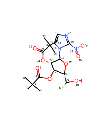 CC(C)(C)C(=O)O[C@@H]1[C@@H](C(O)F)OC(n2ccnc2[N+](=O)[O-])[C@H]1OC(=O)C(C)(C)C